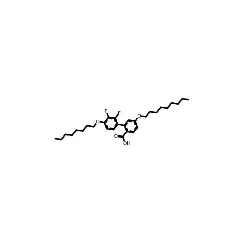 CCCCCCCCCOc1ccc(C(=O)O)c(-c2ccc(OCCCCCCCC)c(F)c2F)c1